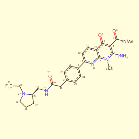 CCn1c(N)c(C(=O)NC)c(=O)c2ccc(-c3ccc(CC(=O)NC[C@H]4CCCN4CC(F)(F)F)cc3)nc21